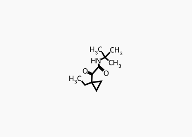 CCC1(C(=O)C(=O)NC(C)(C)C)CC1